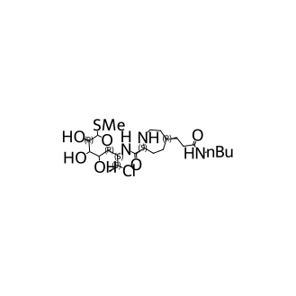 CCCCNC(=O)CC[C@@H]1CCN[C@H](C(=O)N[C@H]([C@H](C)Cl)[C@H]2OC(SC)[C@H](O)C(O)C2O)CC1